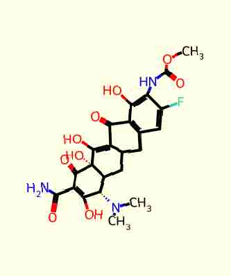 COC(=O)Nc1c(F)cc2c(c1O)C(=O)C1=C(O)[C@]3(O)C(=O)C(C(N)=O)=C(O)[C@@H](N(C)C)C3CC1C2